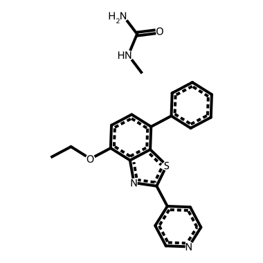 CCOc1ccc(-c2ccccc2)c2sc(-c3ccncc3)nc12.CNC(N)=O